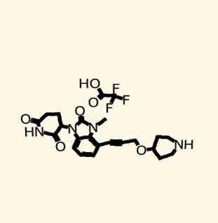 Cn1c(=O)n(C2CCC(=O)NC2=O)c2cccc(C#CCOC3CCNCC3)c21.O=C(O)C(F)(F)F